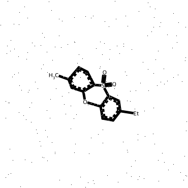 CCc1ccc2c(c1)S(=O)(=O)c1ccc(C)cc1O2